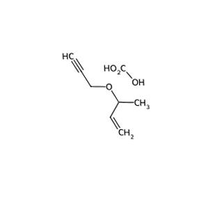 C#CCOC(C)C=C.O=C(O)O